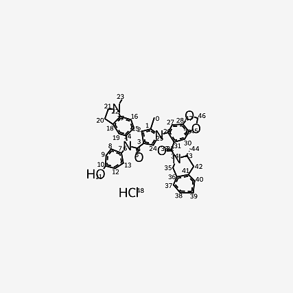 Cc1cc(C(=O)N(c2ccc(O)cc2)c2ccc3c(c2)CCN3C)cn1-c1cc2c(cc1C(=O)N1Cc3ccccc3C[C@H]1C)OCO2.Cl